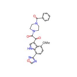 COc1ccc(-c2ncon2)c2[nH]cc(C(=O)C(=O)N3CCN(C(=O)c4ccccc4)CC3)c12